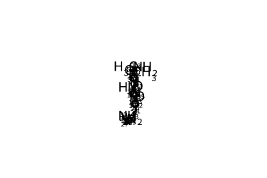 CC(C)(N)C(=O)N1CCN(C(=O)Nc2ccn(-c3ccc(CCCN4CC5CC5(CN)C4)cc3)c(=O)n2)CC1